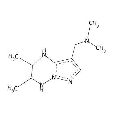 CC1Nc2c(CN(C)C)cnn2NC1C